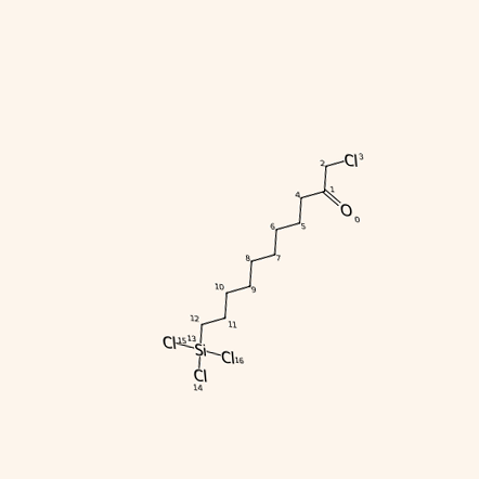 O=C(CCl)CCCCCCCCC[Si](Cl)(Cl)Cl